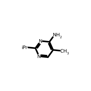 Cc1cnc(C(C)C)nc1N